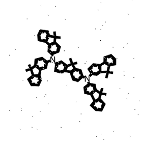 CC1(C)c2ccccc2-c2cc(N(c3ccc4c(c3)-c3ccccc3C4(C)C)c3ccc4c(c3)C(C)(C)c3cc(N(c5ccc6c(c5)C(C)(C)c5ccccc5-6)c5ccc6c(c5)C(C)(C)c5ccccc5-6)ccc3-4)ccc21